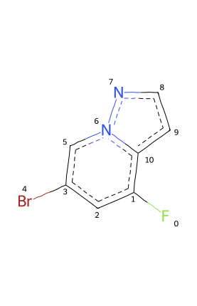 Fc1cc(Br)cn2nccc12